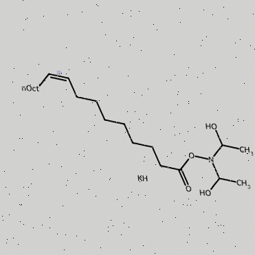 CCCCCCCC/C=C\CCCCCCCC(=O)ON(C(C)O)C(C)O.[KH]